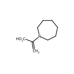 C=C(C(=O)O)N1CCCCCC1